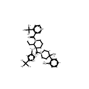 CCC1N(C(=O)c2cnccc2C(F)(F)F)CCC[C@@]1(Oc1csc(C(F)(F)F)c1)C(=O)N1CCC(O)(c2ccccc2O)CC1